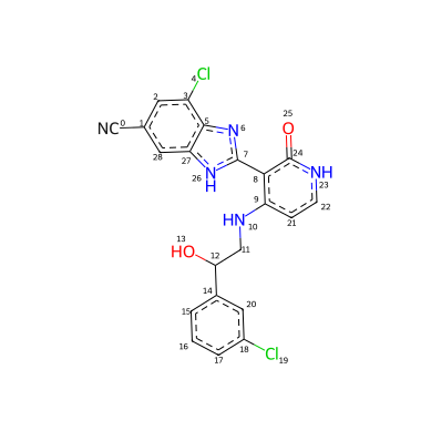 N#Cc1cc(Cl)c2nc(-c3c(NCC(O)c4cccc(Cl)c4)cc[nH]c3=O)[nH]c2c1